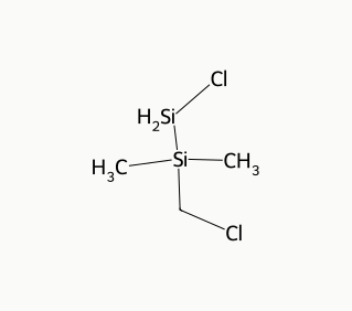 C[Si](C)(CCl)[SiH2]Cl